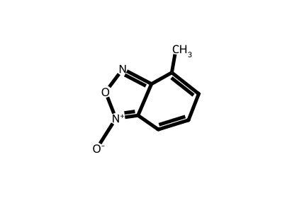 Cc1cccc2c1no[n+]2[O-]